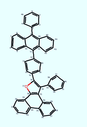 c1ccc(-c2c3ccccc3c(-c3ccc(-c4oc5c6ccccc6c6ccccc6c5c4-c4ccccc4)cc3)c3ccccc23)cc1